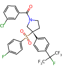 O=C(c1cccc(Cl)c1)N1CC[C@](c2ccc(C(F)(C(F)(F)F)C(F)(F)F)cc2)(S(=O)(=O)c2ccc(F)cc2)C1